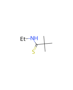 CCNC(=S)C(C)(C)C